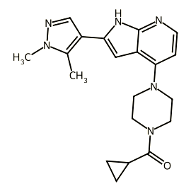 Cc1c(-c2cc3c(N4CCN(C(=O)C5CC5)CC4)ccnc3[nH]2)cnn1C